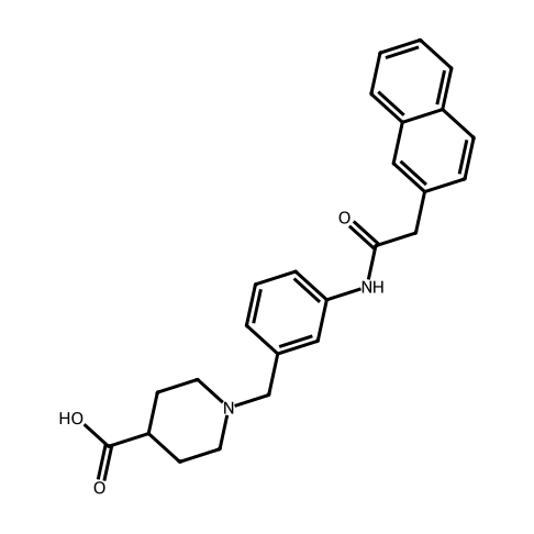 O=C(Cc1ccc2ccccc2c1)Nc1cccc(CN2CCC(C(=O)O)CC2)c1